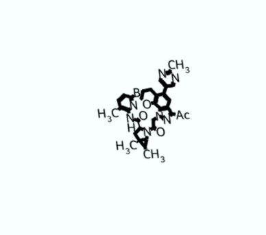 CC(=O)c1nn(CC(=O)N2C3C(C)[C@]3(C)C[C@H]2C(=O)Nc2nc(Br)ccc2C)c2c3c(c(-c4cnc(C)nc4)cc12)CCCO3